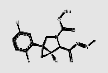 CN=NC(=O)C1[C@@H]2C[C@]2(c2cc(Cl)ccc2F)CN1C(=O)OC(C)(C)C